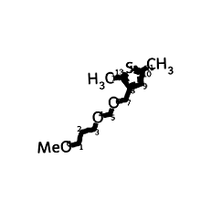 COCCCOCOCc1cc(C)sc1C